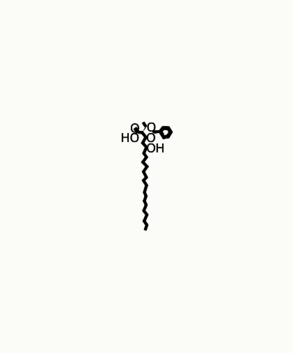 CCCCCCCCCCCCCCCCCC(O)CC(OC(=O)c1ccccc1)[C@@H](CC)C(=O)O